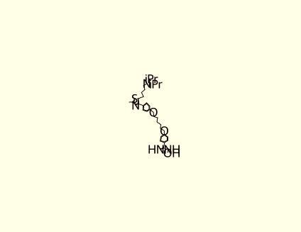 Cc1nc(-c2ccc(OCCCCCOc3ccc(C(=N)NO)cc3)cc2)c(CCCCN(C(C)C)C(C)C)s1